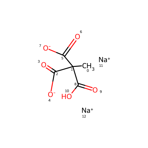 CC(C(=O)[O-])(C(=O)[O-])C(=O)O.[Na+].[Na+]